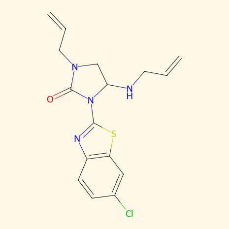 C=CCNC1CN(CC=C)C(=O)N1c1nc2ccc(Cl)cc2s1